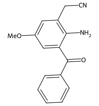 COc1cc(CC#N)c(N)c(C(=O)c2ccccc2)c1